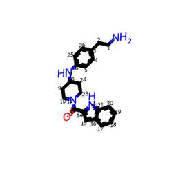 NCCc1ccc(NC2CCN(C(=O)c3cc4ccccc4[nH]3)CC2)cc1